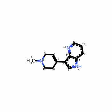 CN1CC=C(c2c[nH]c3cccnc23)CC1